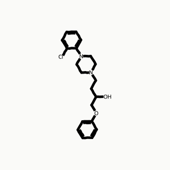 OC(CCN1CCN(c2ccccc2Cl)CC1)COc1ccccc1